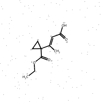 CCOC(=O)C1(C(C)=CC(=O)O)CC1